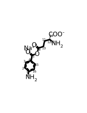 Nc1ccc(C(=O)OC(=O)CC[C@@H](N)C(=O)[O-])cc1.[Na+]